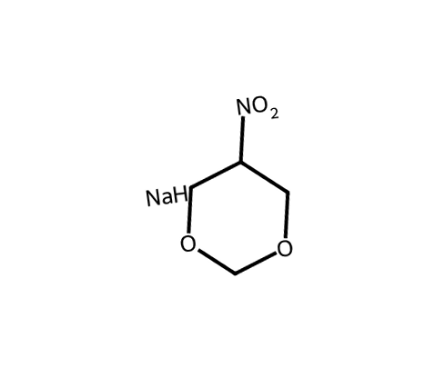 O=[N+]([O-])C1COCOC1.[NaH]